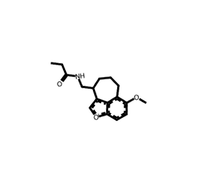 CCC(=O)NCC1CCCc2c(OC)ccc3occ1c23